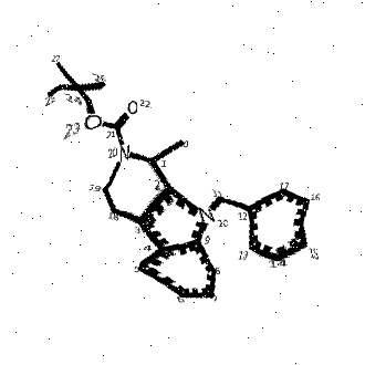 CC1c2c(c3ccccc3n2Cc2ccccc2)CCN1C(=O)OC(C)(C)C